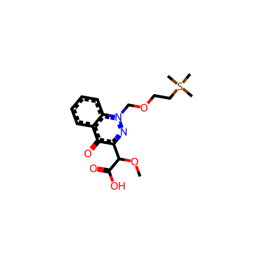 COC(C(=O)O)c1nn(COCCS(C)(C)C)c2ccccc2c1=O